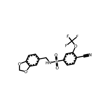 N#Cc1ccc(S(=O)(=O)NCc2ccc3c(c2)OCO3)cc1OC(F)(F)F